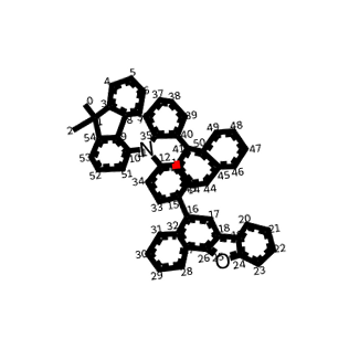 CC1(C)c2ccccc2-c2c(N(c3ccc(-c4cc5c6ccccc6oc5c5ccccc45)cc3)c3ccccc3-c3cccc4ccccc34)cccc21